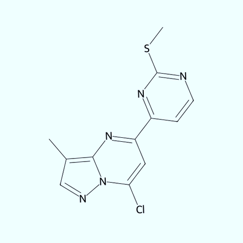 CSc1nccc(-c2cc(Cl)n3ncc(C)c3n2)n1